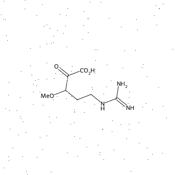 COC(CCNC(=N)N)C(=O)C(=O)O